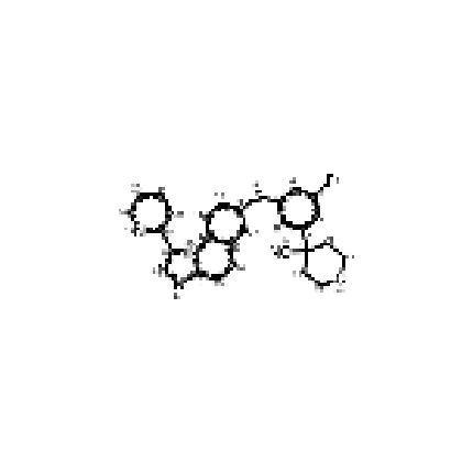 N#CC1(c2cc(F)cc(Sc3ccc4c(ccc5nnc(-c6ccccn6)n54)c3)c2)CCOCC1